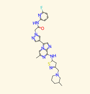 Cc1cn2c(-c3cnn(CC(=O)Nc4cccc(F)n4)c3)cnc2c(NC2CC(CN3CCCC(C)C3)=NS2)n1